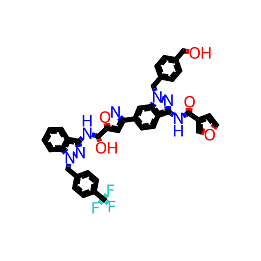 O=C(Nc1nn(Cc2ccc(CO)cc2)c2cc(-c3cc(C(O)Nc4nn(Cc5ccc(C(F)(F)F)cc5)c5ccccc45)on3)ccc12)c1ccoc1